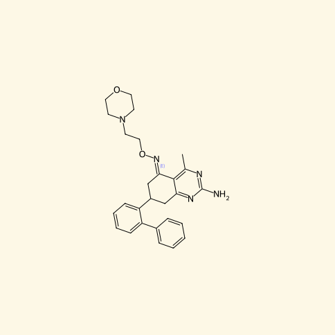 Cc1nc(N)nc2c1/C(=N/OCCN1CCOCC1)CC(c1ccccc1-c1ccccc1)C2